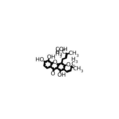 CC(C)=CCc1c2c(c(O)c3c(=O)c4ccc(O)c(O)c4oc13)C=CC(C)(C)O2.CO